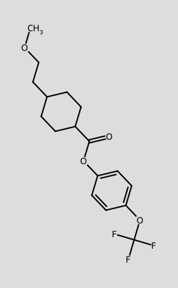 COCCC1CCC(C(=O)Oc2ccc(OC(F)(F)F)cc2)CC1